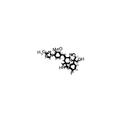 COc1cc(/C=C2\CC3(CNC3=O)CN3C2=NOCC3(CO)c2ccc(F)cc2)ccc1-n1cnc(C)n1